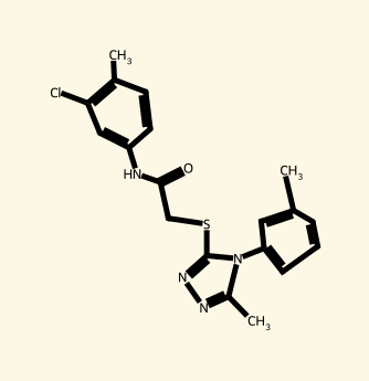 Cc1cccc(-n2c(C)nnc2SCC(=O)Nc2ccc(C)c(Cl)c2)c1